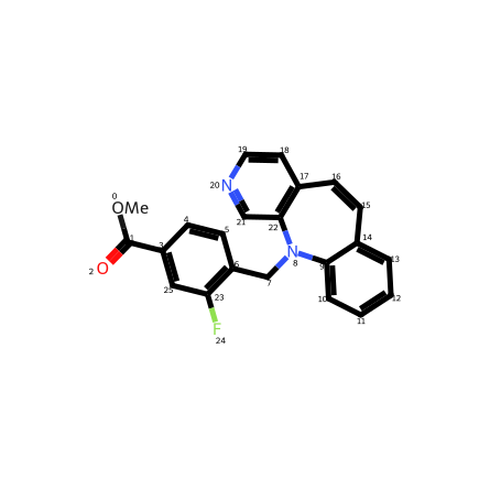 COC(=O)c1ccc(CN2c3ccccc3C=Cc3ccncc32)c(F)c1